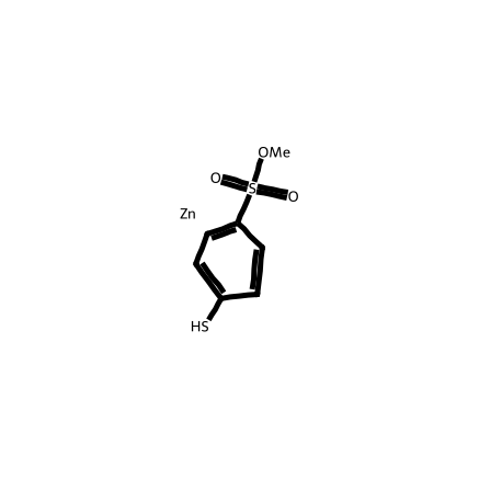 COS(=O)(=O)c1ccc(S)cc1.[Zn]